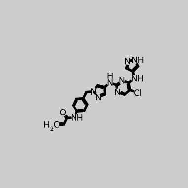 C=CC(=O)Nc1ccc(Cn2cc(Nc3ncc(Cl)c(Nc4cn[nH]c4)n3)cn2)cc1